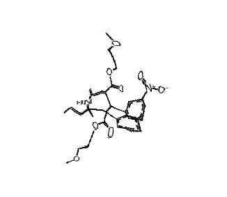 CC=CC1(C)NC(C)=C(C(=O)OCCOC)C(c2cccc([N+](=O)[O-])c2)C1(C(=O)OCCOC)c1ccccc1